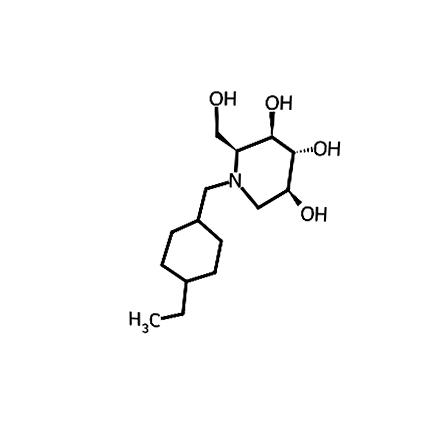 CCC1CCC(CN2C[C@H](O)[C@@H](O)[C@H](O)[C@@H]2CO)CC1